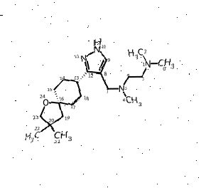 CN(C)CCN(C)Cc1c[nH]nc1[C@H]1CC[C@]2(CC1)CC(C)(C)CO2